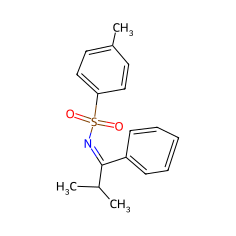 Cc1ccc(S(=O)(=O)N=C(c2ccccc2)C(C)C)cc1